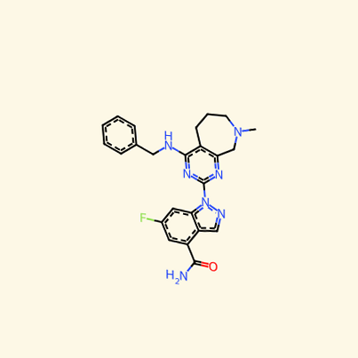 CN1CCCc2c(nc(-n3ncc4c(C(N)=O)cc(F)cc43)nc2NCc2ccccc2)C1